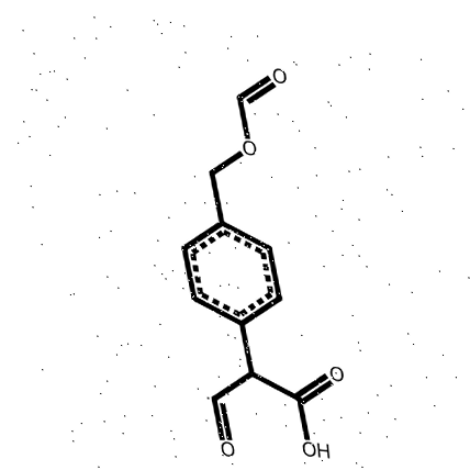 O=[C]C(C(=O)O)c1ccc(COC=O)cc1